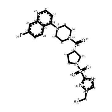 CC(=O)Cn1cnc(S(=O)(=O)N2CC[C@H](C(=O)N3CCN(c4ccnc5cc(F)ccc45)CC3)C2)n1